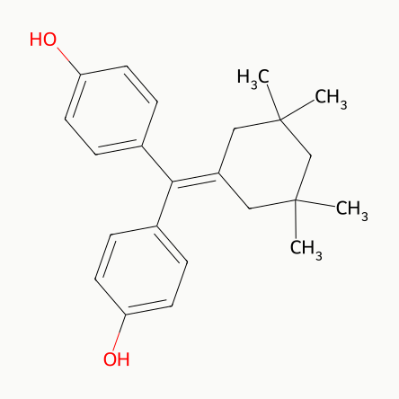 CC1(C)CC(=C(c2ccc(O)cc2)c2ccc(O)cc2)CC(C)(C)C1